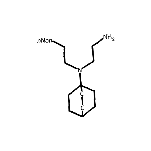 CCCCCCCCCCCN(CCN)C12CCC(CC1)CC2